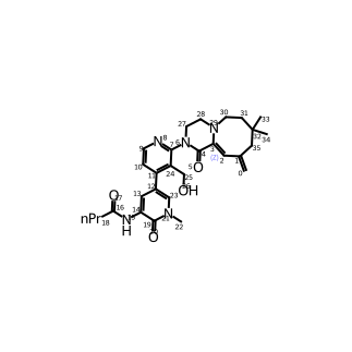 C=C1/C=C2/C(=O)N(c3nccc(-c4cc(NC(=O)CCC)c(=O)n(C)c4)c3CO)CCN2CCC(C)(C)C1